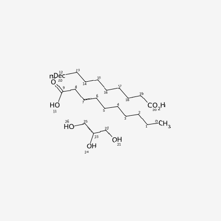 CCCCCCCCCC(=O)O.CCCCCCCCCCCCCCCCCC(=O)O.OCC(O)CO